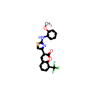 COc1ccccc1Nc1nc(-c2cc3cccc(C(F)(F)F)c3oc2=O)cs1